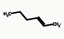 [CH2]C=CCC[CH2]